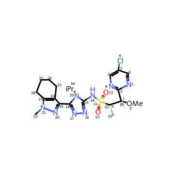 CO[C@H](c1ncc(Cl)cn1)[C@H](C)S(=O)(=O)Nc1nnc(-c2nn(C)c3c2CCCC3)n1C(C)C